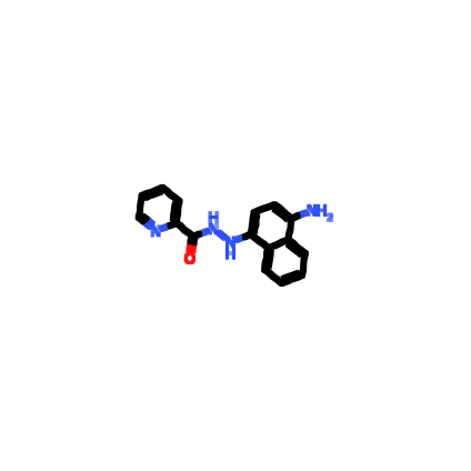 Nc1ccc(NNC(=O)c2ccccn2)c2ccccc12